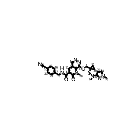 CN(SC1(COc2nncc3cc(C(=O)NCc4ccc(C#N)cc4)c(=O)n(C)c23)CC1)c1ccn(C)n1